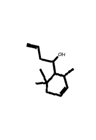 C=CCC(O)C1C(C)C=CCC1(C)C